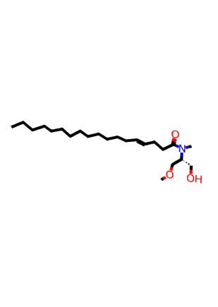 CCCCCCCCCCCCC/C=C/CCC(=O)N(C)[C@H](CO)COC